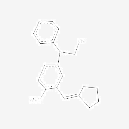 COc1ccc(C(CC#N)c2ccccc2)cc1C=C1CCCC1